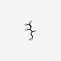 OCCC(Cl)C(Cl)C=C(Cl)Cl